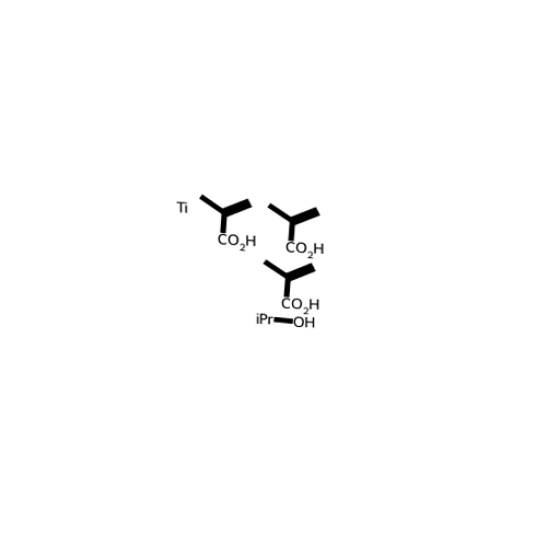 C=C(C)C(=O)O.C=C(C)C(=O)O.C=C(C)C(=O)O.CC(C)O.[Ti]